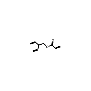 C=CC(=O)OCC(C=C)C=C